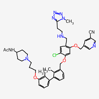 CC(=O)NC1CCN(CCCOc2cccc(-c3cccc(COc4cc(OCc5cncc(C#N)c5)c(CNCCc5nnnn5C)cc4Cl)c3C)c2C)CC1